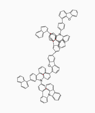 c1ccc(-c2ccc(-c3cccc4ccccc34)cc2N(c2ccc(-c3ccccc3-n3c4ccccc4c4ccccc43)cc2)c2ccc(-c3cccc4c3oc3ccc(-c5ccc6c(c5)c5ccccc5n6-c5ccccc5N(c5ccc(-c6cccc7c6oc6ccccc67)cc5)c5cc(-c6cccc7ccccc67)ccc5-c5ccccc5)cc34)cc2)cc1